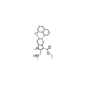 CCOC(=O)c1c(CNC)n(C)c2cc(C3CC3)c(-c3cccc4ccccc34)cc12